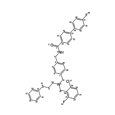 O=C(NCc1ccc(CN(CCSc2ccccc2)Cc2c(F)cccc2Cl)cc1)c1ccc(-c2ccc(F)cc2)cc1